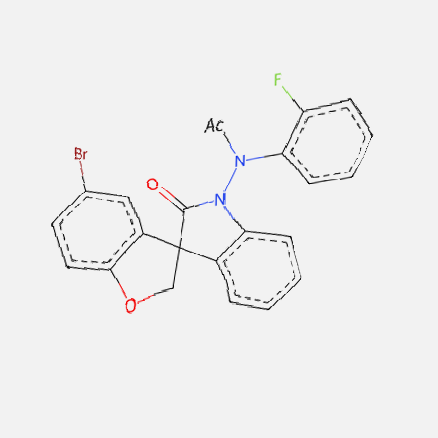 CC(=O)N(c1ccccc1F)N1C(=O)C2(COc3ccc(Br)cc32)c2ccccc21